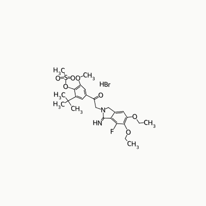 Br.CCOc1cc2c(c(F)c1OCC)C(=N)N(CC(=O)c1cc(OC)c(OS(C)(=O)=O)c(C(C)(C)C)c1)C2